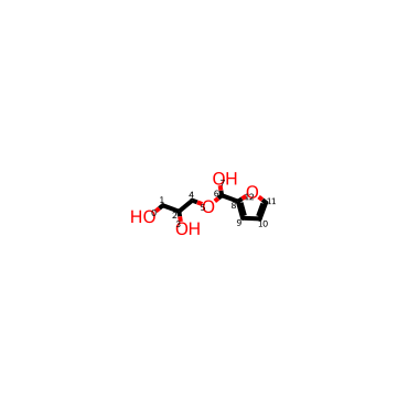 OCC(O)COC(O)c1ccco1